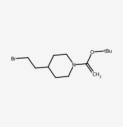 C=C(OC(C)(C)C)N1CCC(CCBr)CC1